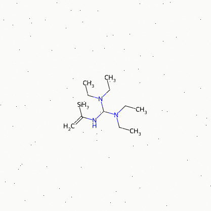 C=C([SiH3])NC(N(CC)CC)N(CC)CC